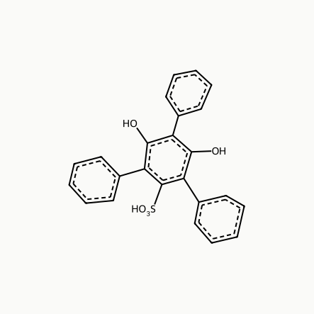 O=S(=O)(O)c1c(-c2ccccc2)c(O)c(-c2ccccc2)c(O)c1-c1ccccc1